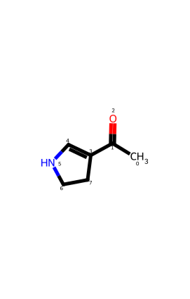 CC(=O)C1=CNCC1